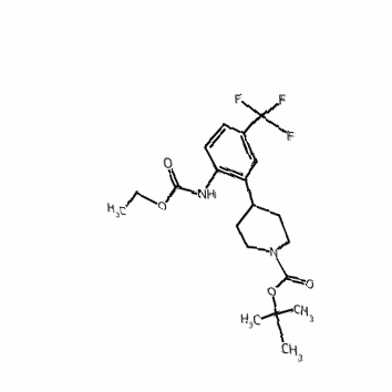 CCOC(=O)Nc1ccc(C(F)(F)F)cc1C1CCN(C(=O)OC(C)(C)C)CC1